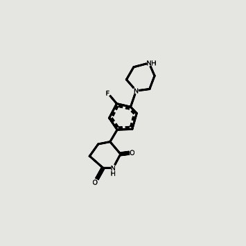 O=C1CCC(c2ccc(N3CCNCC3)c(F)c2)C(=O)N1